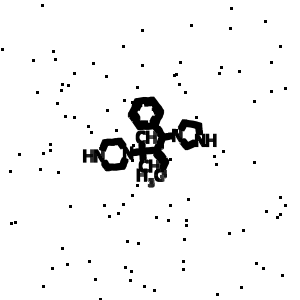 C/C=C(/C(c1ccccc1)N1CCNC1)C(C)(C)N1CCNCC1